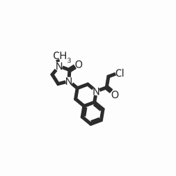 CN1CCN(C2Cc3ccccc3N(C(=O)CCl)C2)C1=O